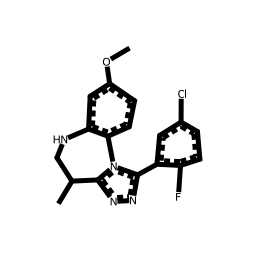 COc1ccc2c(c1)NCC(C)c1nnc(-c3cc(Cl)ccc3F)n1-2